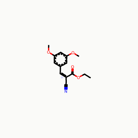 CCOC(=O)/C(C#N)=C\c1cc(OC)cc(OC)c1